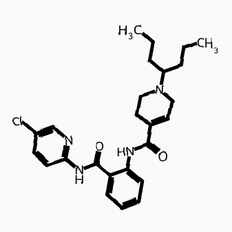 CCCC(CCC)N1CC=C(C(=O)Nc2ccccc2C(=O)Nc2ccc(Cl)cn2)CC1